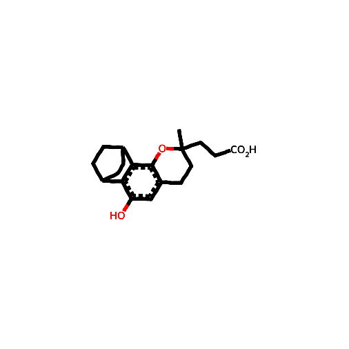 CC1(CCC(=O)O)CCc2cc(O)c3c(c2O1)C1CCC3CC1